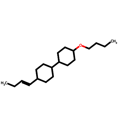 CCC=CC1CCC(C2CCC(OCCCC)CC2)CC1